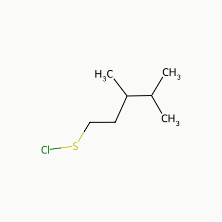 CC(C)C(C)CCSCl